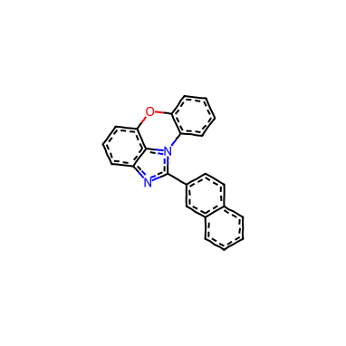 c1ccc2c(c1)Oc1cccc3nc(-c4ccc5ccccc5c4)n-2c13